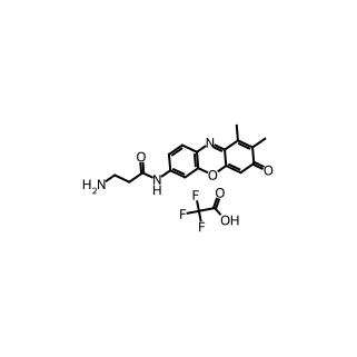 Cc1c2nc3ccc(NC(=O)CCN)cc3oc-2cc(=O)c1C.O=C(O)C(F)(F)F